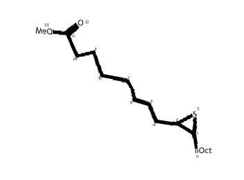 CCCCCCCCC1SC1CCCCCCCC(=O)OC